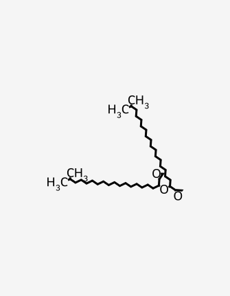 CC(C)CCCCCCCCCCCCCCCC(OC(CCCCCCCCCCCCCCCC(C)C)C1CO1)C1CO1